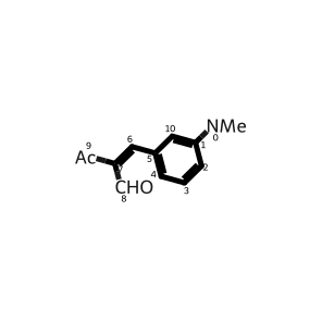 CNc1cccc(/C=C(\C=O)C(C)=O)c1